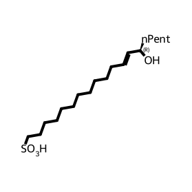 CCCCC[C@@H](O)C=CCCCCCCCCCCCS(=O)(=O)O